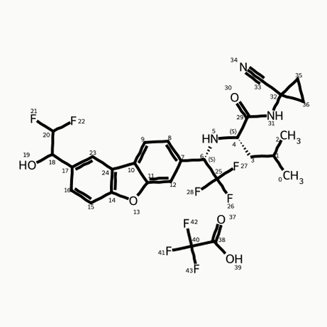 CC(C)C[C@H](N[C@@H](c1ccc2c(c1)oc1ccc(C(O)C(F)F)cc12)C(F)(F)F)C(=O)NC1(C#N)CC1.O=C(O)C(F)(F)F